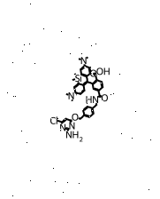 CN(C)c1ccc2c(c1)[Si](C)(C)C1=CC(=[N+](C)C)C=CC1=C2c1cc(C(=O)NCc2ccc(COc3cc(Cl)nc(N)n3)cc2)ccc1C(=O)O